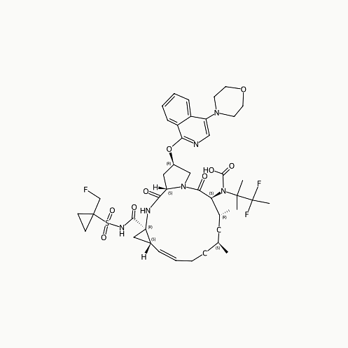 C[C@H]1CCC=C[C@@H]2C[C@@]2(C(=O)NS(=O)(=O)C2(CF)CC2)NC(=O)[C@@H]2C[C@@H](Oc3ncc(N4CCOCC4)c4ccccc34)CN2C(=O)[C@@H](N(C(=O)O)C(C)(C)C(C)(F)F)[C@H](C)C1